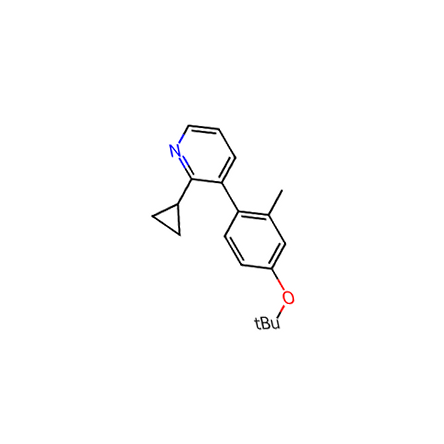 Cc1cc(OC(C)(C)C)ccc1-c1cccnc1C1CC1